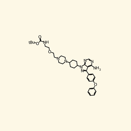 CC(C)(C)OC(=O)NCCOCCN1CCN(C2CCC(n3nc(-c4ccc(Oc5ccccc5)cc4)c4c(N)ncnc43)CC2)CC1